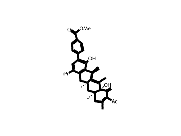 C=C1C2=C(C)[C@@]3(O)C(=C)C(C(C)=O)=C(C)C[C@@]3(C)C[C@@]2(C)Cc2c(C(C)C)cc(-c3ccc(C(=O)OC)cc3)c(O)c21